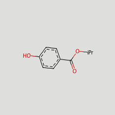 [CH2]C(C)OC(=O)c1ccc(O)cc1